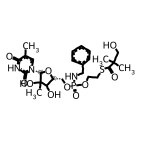 Cc1cn([C@@H]2O[C@H](COP(=O)(NCc3ccccc3)OCCSC(=O)C(C)(C)CO)C(O)C2(C)O)c(=O)[nH]c1=O